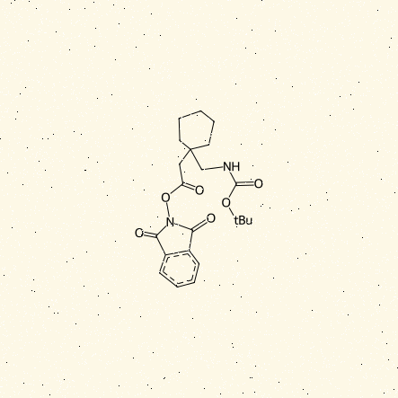 CC(C)(C)OC(=O)NCC1(CC(=O)ON2C(=O)c3ccccc3C2=O)CCCCC1